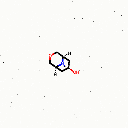 CN1[C@@H]2COC[C@H]1C[C@@H](O)C2